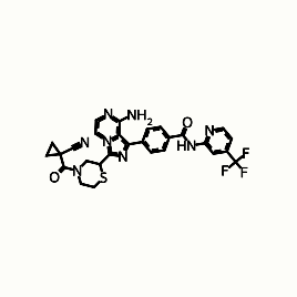 N#CC1(C(=O)N2CCSC(c3nc(-c4ccc(C(=O)Nc5cc(C(F)(F)F)ccn5)cc4)c4c(N)nccn34)C2)CC1